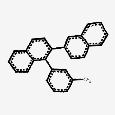 FC(F)(F)c1cc[c]c(-c2c(-c3ccc4ccccc4c3)ccc3ccccc23)c1